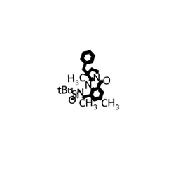 CC(=N[S@+]([O-])C(C)(C)C)c1cc(C)cc2c(=O)n3c(nc12)C(C)(Cc1ccccc1)CC3